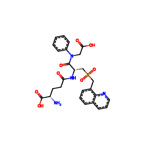 N[C@@H](CCC(=O)N[C@@H](CS(=O)(=O)Cc1cccc2cccnc12)C(=O)N(CC(=O)O)c1ccccc1)C(=O)O